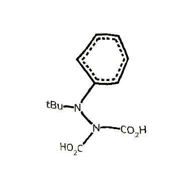 CC(C)(C)N(c1ccccc1)N(C(=O)O)C(=O)O